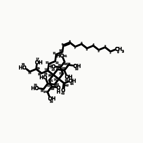 CCCCCCCC/C=C\CCCCC(CC(O)CO)C(CC(O)CO)(CC(O)CO)C(CC(O)CO)(CC(O)CO)C(=O)O